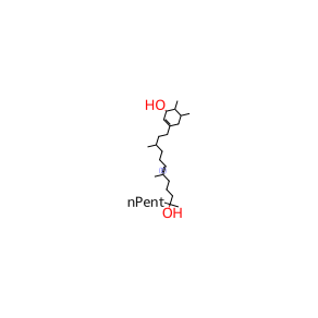 CCCCCC(C)(O)CCC/C(C)=C/CCC(C)CCC1=CC(O)C(C)C(C)C1